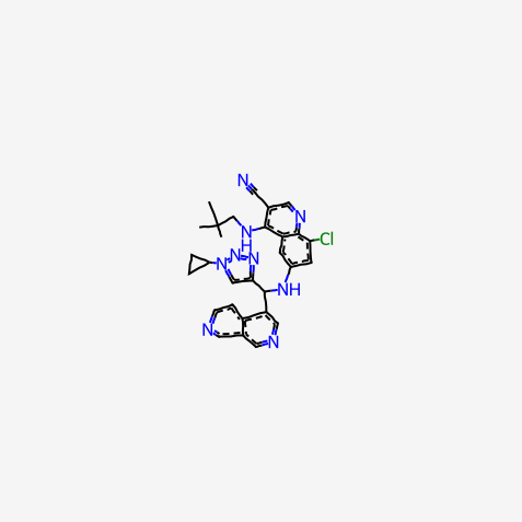 CC(C)(C)CNc1c(C#N)cnc2c(Cl)cc(NC(c3cn(C4CC4)nn3)c3cncc4cnccc34)cc12